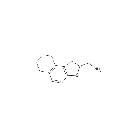 NCC1Cc2c(ccc3c2CCCC3)O1